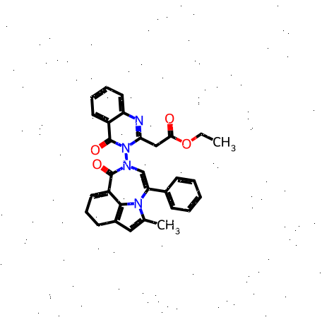 CCOC(=O)Cc1nc2ccccc2c(=O)n1N1C=C(c2ccccc2)n2c(C)cc3c2C(=CCC3)C1=O